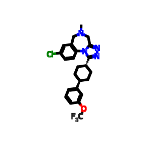 CN1Cc2cc(Cl)ccc2-n2c(nnc2[C@H]2CC[C@H](c3cccc(OC(F)(F)F)c3)CC2)C1